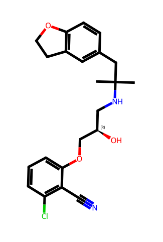 CC(C)(Cc1ccc2c(c1)CCO2)NC[C@@H](O)COc1cccc(Cl)c1C#N